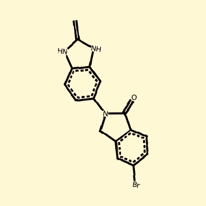 C=C1Nc2ccc(N3Cc4cc(Br)ccc4C3=O)cc2N1